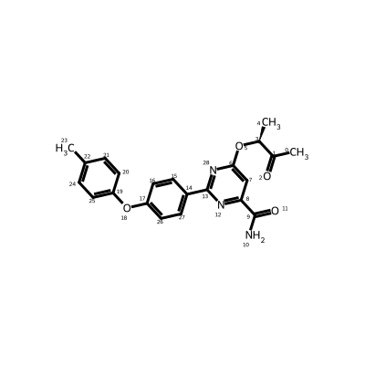 CC(=O)[C@H](C)Oc1cc(C(N)=O)nc(-c2ccc(Oc3ccc(C)cc3)cc2)n1